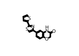 O=C1COc2ccc(-c3csc(-c4cccs4)n3)cc2N1